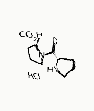 Cl.O=C(O)[C@@H]1CCCN1C(=O)[C@@H]1CCCN1